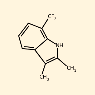 Cc1[nH]c2c(C(F)(F)F)cccc2c1C